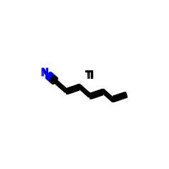 C=CC=CC=CC#N.[Ti]